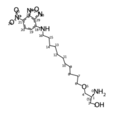 N[C@@H](CO)COCCCCCCCCCCCNc1ccc([N+](=O)[O-])c2nonc12